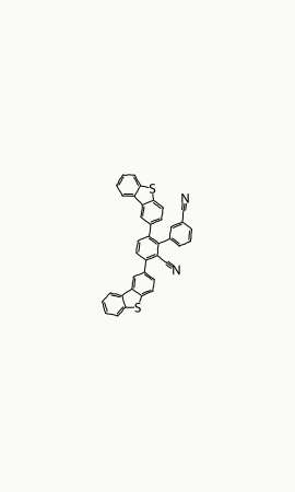 N#Cc1cccc(-c2c(-c3ccc4sc5ccccc5c4c3)ccc(-c3ccc4sc5ccccc5c4c3)c2C#N)c1